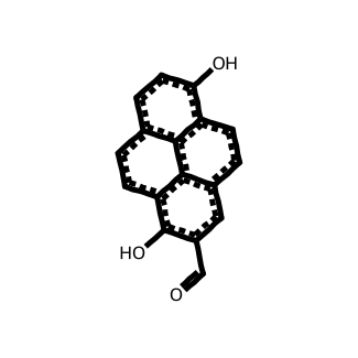 O=Cc1cc2ccc3c(O)ccc4ccc(c1O)c2c43